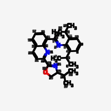 CC(=Nc1c(C(C)C)cccc1C(C)C)c1cccc2ccc(C3=NC(C(C)C)CO3)nc12